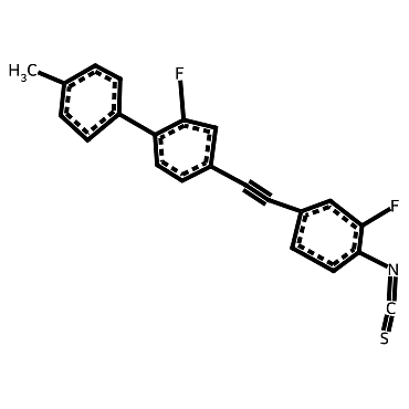 Cc1ccc(-c2ccc(C#Cc3ccc(N=C=S)c(F)c3)cc2F)cc1